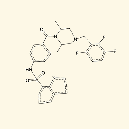 CC1CN(Cc2c(F)ccc(F)c2F)CC(C)N1C(=O)c1ccc(NS(=O)(=O)c2cccc3cccnc23)cc1